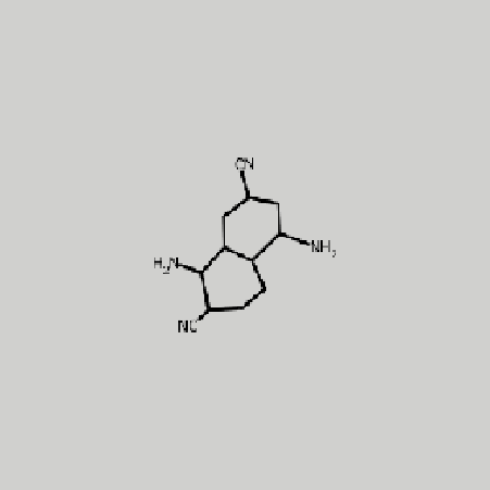 N#CC1CC(N)C2CCC(C#N)C(N)C2C1